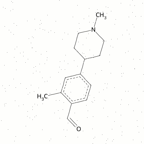 Cc1cc(C2CCN(C)CC2)ccc1C=O